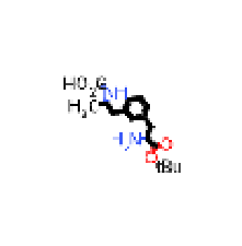 CC(Cc1cccc(C[C@H](N)C(=O)OC(C)(C)C)c1)NC(=O)O